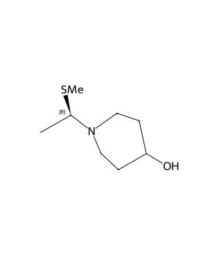 CS[C@H](C)N1CCC(O)CC1